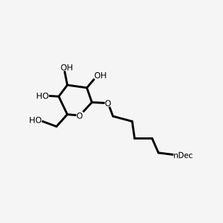 CCCCCCCCCCCCCCCOC1OC(CO)C(O)C(O)C1O